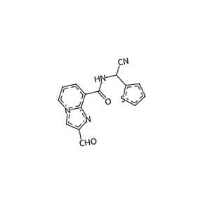 N#CC(NC(=O)c1cccn2cc(C=O)nc12)c1cccs1